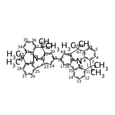 CC1(C)c2cccc3c2-n2c4c1cccc4c1cc(-c4cc5c6c(c4)c4cccc7c4n6-c4c(cccc4C5(C)C)C7(C)C)cc(c12)C3(C)C